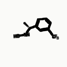 C[C@@H](NO)c1cccc(C(F)(F)F)c1